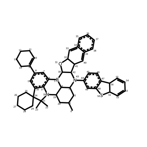 CC1CC2C3B(c4cc(C5=CCCCC5)cc5c4N(C3C1)C(C)(C)C51CCCCC1)C1OC3C=c4ccccc4=CC3C1N2c1ccc2c(c1)SC1C=CC=CC21